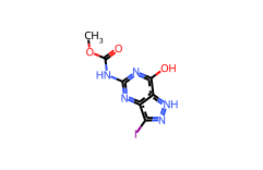 COC(=O)Nc1nc(O)c2[nH]nc(I)c2n1